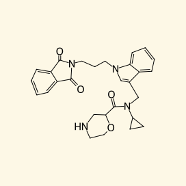 O=C1c2ccccc2C(=O)N1CCCn1cc(CN(C(=O)C2CNCCO2)C2CC2)c2ccccc21